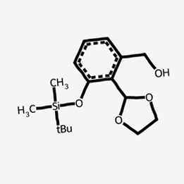 CC(C)(C)[Si](C)(C)Oc1cccc(CO)c1C1OCCO1